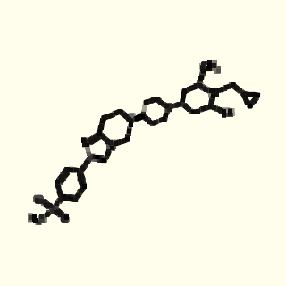 CCC1CC(N2CCC([C@@H]3CCc4nc(-c5ccc(S(C)(=O)=O)cc5)cn4C3)CC2)CC(C)N1CC1CC1